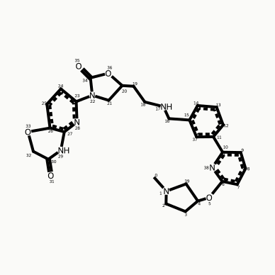 CN1CCC(Oc2cccc(-c3cccc(CNCCC4CN(c5ccc6c(n5)NC(=O)CO6)C(=O)O4)c3)n2)C1